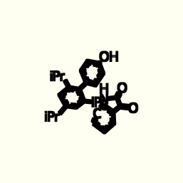 CC(C)c1cc(C(C)C)c(-c2ccc(O)cc2)c(C(C)C)c1.O=C1Nc2ccccc2C1=O